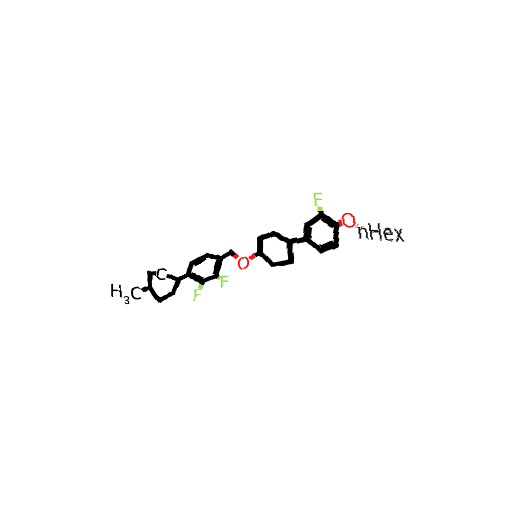 CCCCCCOc1ccc(C2CCC(OCc3ccc(C4CCC(C)CC4)c(F)c3F)CC2)cc1F